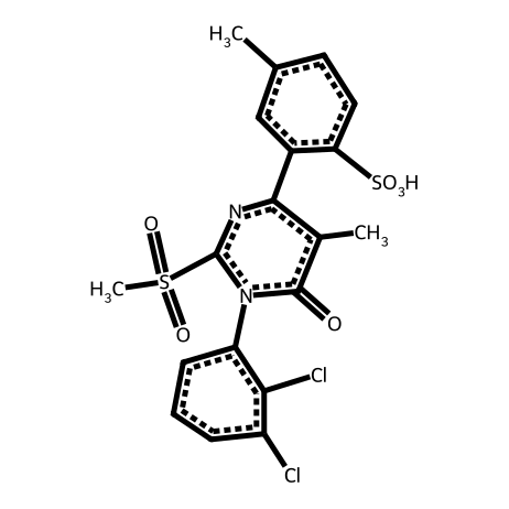 Cc1ccc(S(=O)(=O)O)c(-c2nc(S(C)(=O)=O)n(-c3cccc(Cl)c3Cl)c(=O)c2C)c1